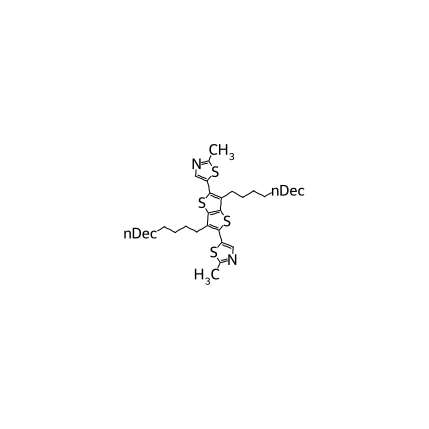 CCCCCCCCCCCCCCc1c(-c2cnc(C)s2)sc2c(CCCCCCCCCCCCCC)c(-c3cnc(C)s3)sc12